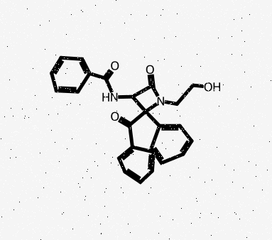 O=C(NC1C(=O)N(CCO)C1(C(=O)c1ccccc1)c1ccccc1)c1ccccc1